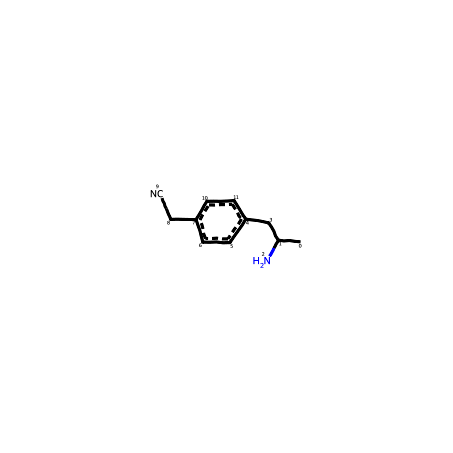 CC(N)Cc1ccc(CC#N)cc1